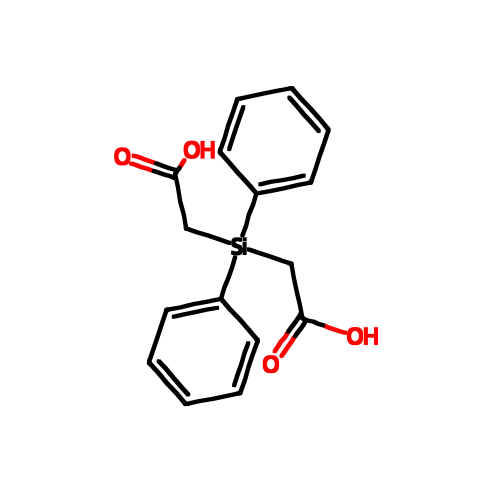 O=C(O)C[Si](CC(=O)O)(c1ccccc1)c1ccccc1